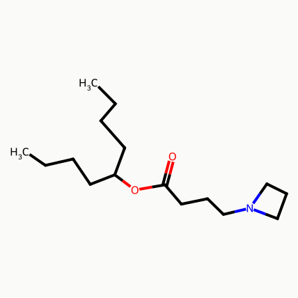 CCCCC(CCCC)OC(=O)CCCN1CCC1